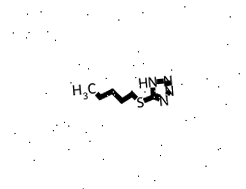 CCCC[CH]Sc1nnn[nH]1